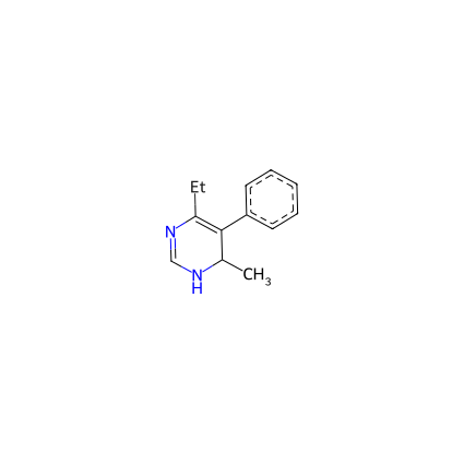 CCC1=C(c2ccccc2)C(C)NC=N1